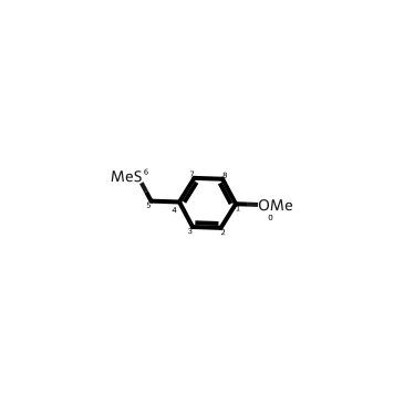 COc1ccc(CSC)cc1